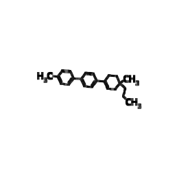 CCCC1(C)CC=C(c2ccc(-c3ccc(C)cc3)cc2)CC1